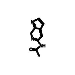 CC(=O)NC1=NCC2=NC=CC2=C1